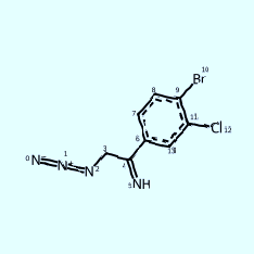 [N-]=[N+]=NCC(=N)c1ccc(Br)c(Cl)c1